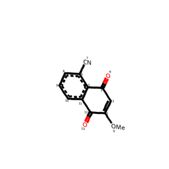 COC1=CC(=O)c2c(C#N)cccc2C1=O